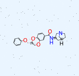 O=C(N[C@@H]1C[C@@H]2CCN(C2)C1)c1ccc2c(c1)OC[C@H](COc1ccccc1)O2